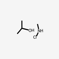 CC(C)O.CNCl